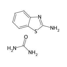 NC(N)=O.Nc1nc2ccccc2s1